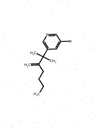 C=C(CCCC)C(C)(C)c1cncc(Br)c1